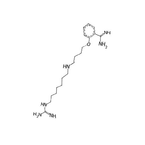 N=C(N)NCCCCCCCNCCCCOc1ccccc1C(=N)N